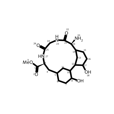 COC(=O)[C@@H]1CC2CCC(O)C(C2)C2CC(CCC2O)[C@H](N)C(=O)NCC(=O)N1